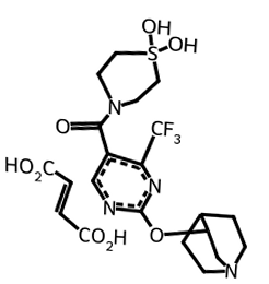 O=C(O)C=CC(=O)O.O=C(c1cnc(OC2CN3CCC2CC3)nc1C(F)(F)F)N1CCS(O)(O)CC1